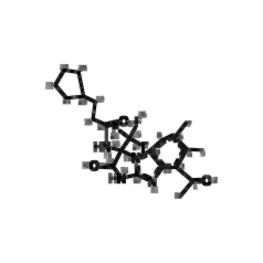 CC(=O)c1c(C)c(C)cc2c1nc1n2C(NC(=O)CCC2CCCC2)(C(F)(F)F)C(=O)N1